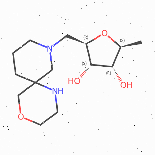 C[C@@H]1O[C@H](CN2CCCC3(COCCN3)C2)[C@@H](O)[C@H]1O